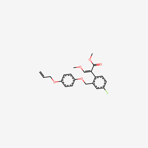 C=CCOc1ccc(OCc2cc(F)ccc2/C(=C/OC)C(=O)OC)cc1